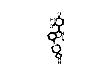 Cn1nc(C2CCC(=O)NC2=O)c2cccc(N3CCC4(CC3)CNC4)c21